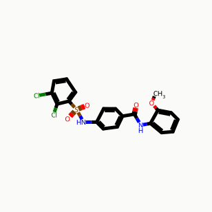 COc1ccccc1NC(=O)c1ccc(NS(=O)(=O)c2cccc(Cl)c2Cl)cc1